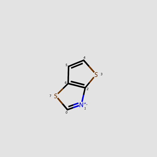 C1=[N+]c2sccc2S1